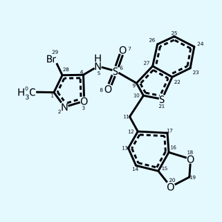 Cc1noc(NS(=O)(=O)c2c(Cc3ccc4c(c3)OCO4)sc3ccccc23)c1Br